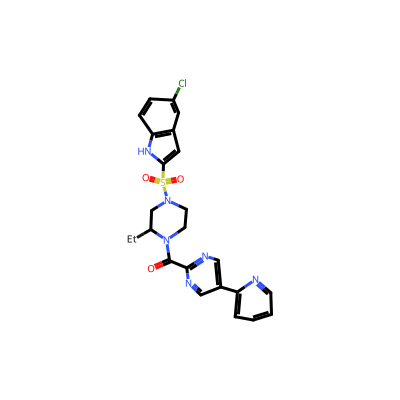 CCC1CN(S(=O)(=O)c2cc3cc(Cl)ccc3[nH]2)CCN1C(=O)c1ncc(-c2ccccn2)cn1